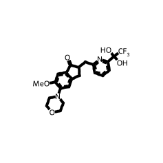 COc1cc2c(cc1N1CCOCC1)CC(Cc1cccc(C(O)(O)C(F)(F)F)n1)C2=O